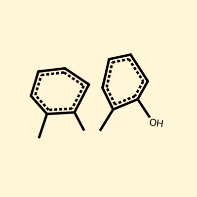 Cc1ccccc1C.Cc1ccccc1O